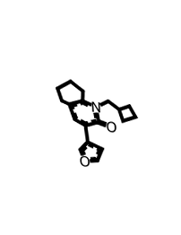 O=c1c(-c2ccoc2)cc2c(n1CC1CCC1)CCCC2